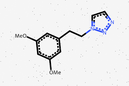 COc1cc(CCn2ccnn2)cc(OC)c1